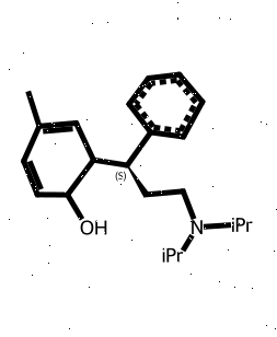 CC1=CC([C@H](CCN(C(C)C)C(C)C)c2ccccc2)C(O)C=C1